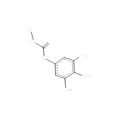 CCNC(=O)Nc1cc(OC)c(OC)c(OC)c1